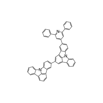 c1ccc(-c2cc(-c3ccc4c(c3)c3cc(-c5ccc6c(c5)c5cccc7c8ccccc8n6c75)cc5c6ccccc6n4c53)cc(-c3ccccc3)n2)cc1